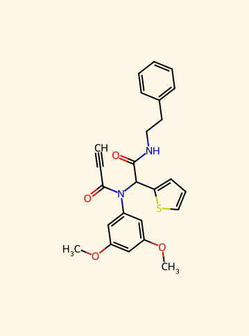 C#CC(=O)N(c1cc(OC)cc(OC)c1)C(C(=O)NCCc1ccccc1)c1cccs1